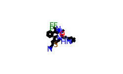 CCn1cc(-c2ccccc2[C@@H]2CN(C(=O)/C=C/[C@H]3CC(C)(C)CN3)Cc3sc(C#N)cc32)c(C(F)(F)F)n1